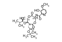 COc1ccnc(C(=O)N[C@H]2COC(=O)[C@H](CC(=O)OC(C)(C)C)[C@@H](OC(=O)C(C)C)[C@H](C)OC2=O)c1O